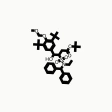 CCN(C(c1ccccc1)c1ccccc1)S(=O)(=O)C(CC(=O)OC(C)(C)C)C(O)c1cc(C(C)(C)C)c(OCOC)c(C(C)(C)C)c1